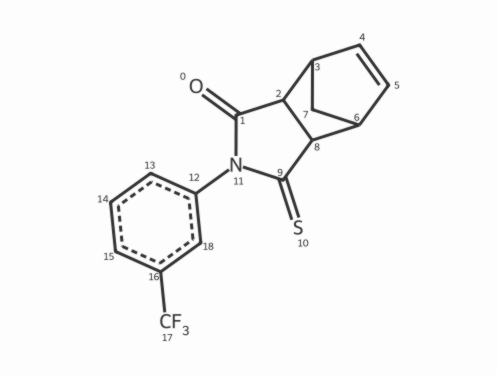 O=C1C2C3C=CC(C3)C2C(=S)N1c1cccc(C(F)(F)F)c1